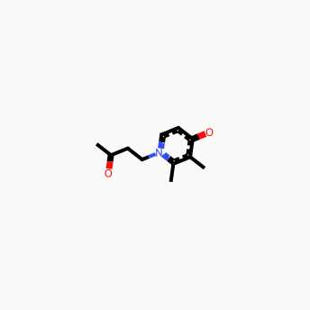 CC(=O)CCn1ccc(=O)c(C)c1C